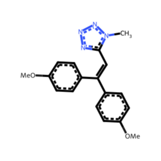 COc1ccc(C(=Cc2nnnn2C)c2ccc(OC)cc2)cc1